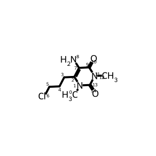 Cn1c(CCCCl)c(N)c(=O)n(C)c1=O